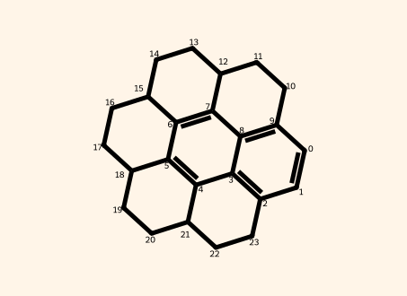 c1cc2c3c4c5c6c7c3c1CCC7CCC6CCC5CCC4CC2